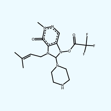 CC(C)=CCN1c2c(cnn(C)c2=O)N(OC(=O)C(F)(F)F)C1N1CCNCC1